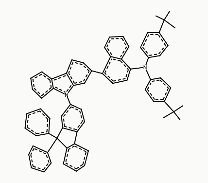 CC(C)(C)c1ccc(N(c2ccc(C(C)(C)C)cc2)c2ccc(-c3ccc4c5ccccc5n(-c5ccc6c(c5)C(c5ccccc5)(c5ccccc5)c5ccccc5-6)c4c3)c3ccccc23)cc1